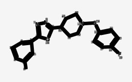 Cc1cccc(-c2nnc(C3CCN(Sc4ccc(F)cc4)CC3)o2)c1